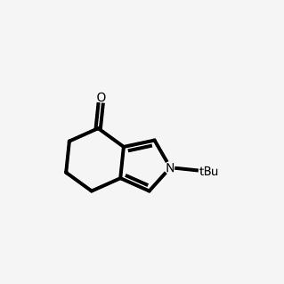 CC(C)(C)n1cc2c(c1)C(=O)CCC2